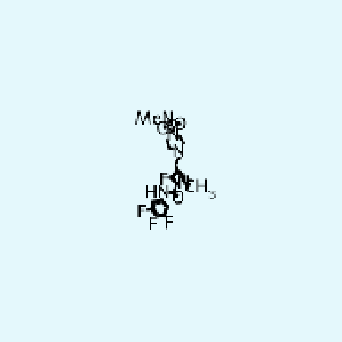 CNS(=O)(=O)N1CCN(CCc2cn(C)c(C(=O)Nc3cc(F)c(F)c(F)c3)c2F)CC1